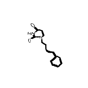 O=c1ccn(CCCCc2ccccc2)c(=O)[nH]1